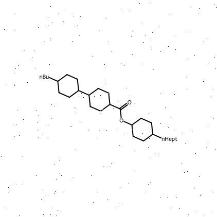 CCCCCCCC1CCC(OC(=O)C2CCC(C3CCC(CCCC)CC3)CC2)CC1